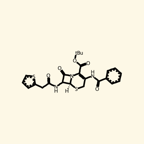 CC(C)(C)OC(=O)C1=C(NC(=O)c2ccccc2)CS[C@H]2C(NC(=O)Cc3cccs3)C(=O)N12